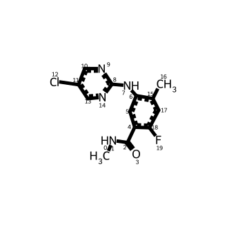 CNC(=O)c1cc(Nc2ncc(Cl)cn2)c(C)cc1F